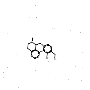 CN1CCc2cccc3c2C1Cc1ccc(CO)c(O)c1-3